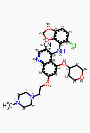 CN1CCN(CCOc2cc(OC3CCOCC3)c3c(Nc4c(Cl)ccc5c4OCO5)c(C#N)cnc3c2)CC1